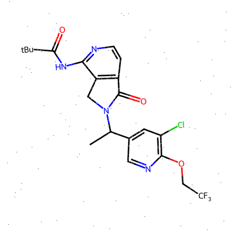 CC(c1cnc(OCC(F)(F)F)c(Cl)c1)N1Cc2c(ccnc2NC(=O)C(C)(C)C)C1=O